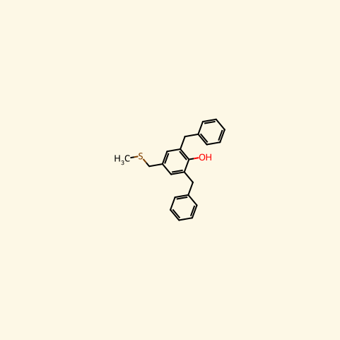 CSCc1cc(Cc2ccccc2)c(O)c(Cc2ccccc2)c1